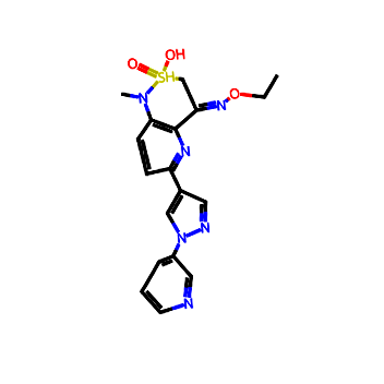 CCON=C1C[SH](=O)(O)N(C)c2ccc(-c3cnn(-c4cccnc4)c3)nc21